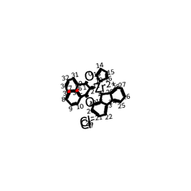 O=C([C](C(=O)c1ccccc1)=[Zr+2]([CH]1C=CC=C1)[CH]1c2ccccc2-c2ccccc21)c1ccccc1.[Cl-].[Cl-]